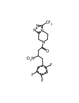 O=C(CC(Cc1cc(F)c(F)cc1F)[N+](=O)[O-])N1CCn2c(nnc2C(F)(F)F)C1